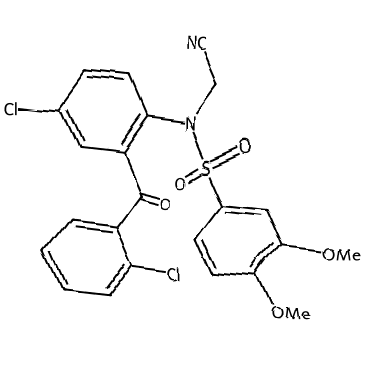 COc1ccc(S(=O)(=O)N(CC#N)c2ccc(Cl)cc2C(=O)c2ccccc2Cl)cc1OC